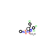 O=C(O)Oc1nn(-c2ccc(Cl)cc2Cl)c2c1C(NS(=O)(=O)NCc1ccccc1)CCC/C2=C\c1ccc(Cl)cc1